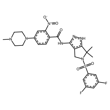 CN1CCN(c2ccc(C(=O)Nc3n[nH]c4c3CN(S(=O)(=O)c3cc(F)cc(F)c3)C4(C)C)c([N+](=O)[O-])c2)CC1